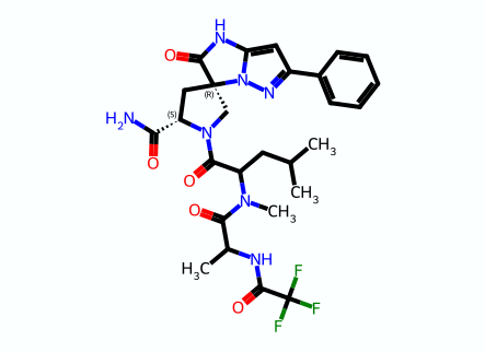 CC(C)CC(C(=O)N1C[C@]2(C[C@H]1C(N)=O)C(=O)Nc1cc(-c3ccccc3)nn12)N(C)C(=O)C(C)NC(=O)C(F)(F)F